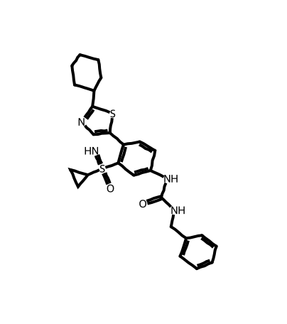 N=S(=O)(c1cc(NC(=O)NCc2ccccc2)ccc1-c1cnc(C2CCCCC2)s1)C1CC1